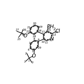 CC(C)(C)Oc1cccc(-c2cnc(Cl)c(P)c2-c2cccc(OC(C)(C)C)c2)c1